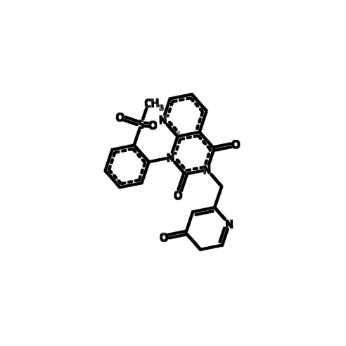 CS(=O)(=O)c1ccccc1-n1c(=O)n(CC2=CC(=O)CC=N2)c(=O)c2cccnc21